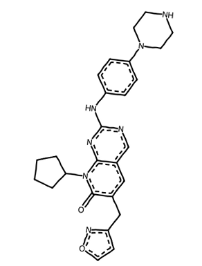 O=c1c(Cc2ccon2)cc2cnc(Nc3ccc(N4CCNCC4)cc3)nc2n1C1CCCC1